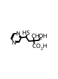 CC(CO)(CC(S)c1cnccn1)C(=O)O